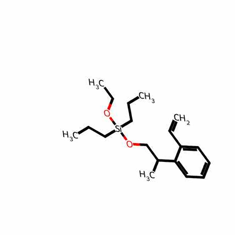 C=Cc1ccccc1C(C)CO[Si](CCC)(CCC)OCC